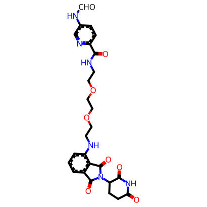 O=CNc1ccc(C(=O)NCCOCCOCCNc2cccc3c2C(=O)N(C2CCC(=O)NC2=O)C3=O)nc1